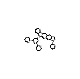 c1ccc(-n2ccc3cc4cc5c6ccccc6n(-c6cc(-c7ccccn7)nc(-c7ccccn7)c6)c5cc4cc32)cc1